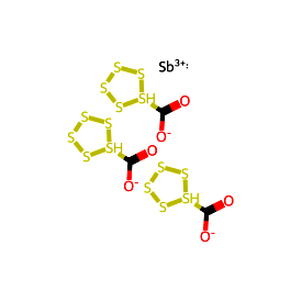 O=C([O-])[SH]1SSSS1.O=C([O-])[SH]1SSSS1.O=C([O-])[SH]1SSSS1.[Sb+3]